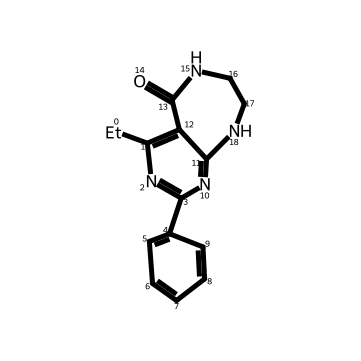 CCc1nc(-c2ccccc2)nc2c1C(=O)NCCN2